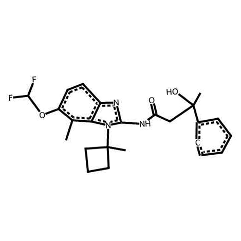 Cc1c(OC(F)F)ccc2nc(NC(=O)CC(C)(O)c3ccccc3)n(C3(C)CCC3)c12